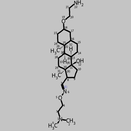 CN(C)CCO/N=C/C1CC[C@@]2(O)[C@@H]3CCC4CC(OCCN)CC[C@]4(C)[C@@H]3CC[C@]12C